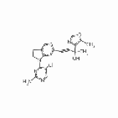 Cc1ocnc1C(C)(O)C#Cc1ccc2c(c1)N(c1nc(N)ncc1Cl)CC2